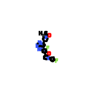 CC(=O)N1CCC(c2cc(-c3ccc(-c4cccn(-c5ccc(F)cc5)c4=O)cc3F)c3c(N)ncnn23)CC1